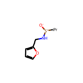 CC(C)[S+]([O-])NCc1ccco1